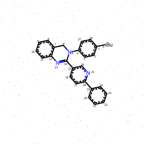 CCC(C)c1ccc(N2Cc3ccccc3N=C2c2ccc(-c3ccccc3)nc2)cc1